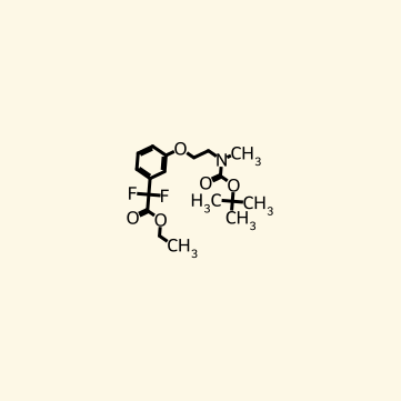 CCOC(=O)C(F)(F)c1cccc(OCCN(C)C(=O)OC(C)(C)C)c1